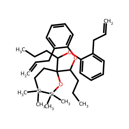 C=CCc1ccccc1OC(CCC)C1(C(CCC)Oc2ccccc2CC=C)CC[Si](C)(C)[Si](C)(C)O1